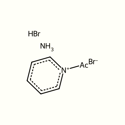 Br.CC(=O)[n+]1ccccc1.N.[Br-]